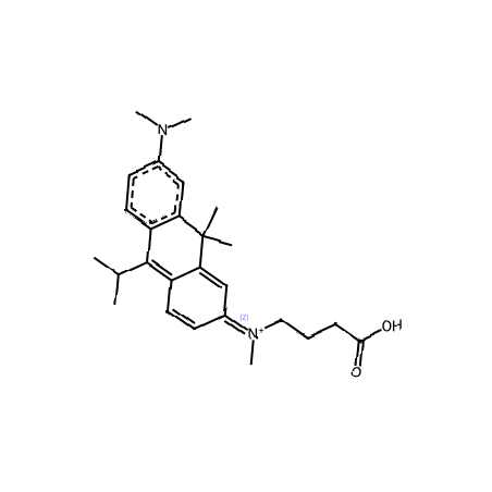 CC(C)C1=C2C=C/C(=[N+](\C)CCCC(=O)O)C=C2C(C)(C)c2cc(N(C)C)ccc21